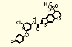 CS(=O)(=O)C1CCOc2cc3sc(C(=O)Nc4cc(Cl)nc(Oc5ccc(F)cc5)c4)cc3cc21